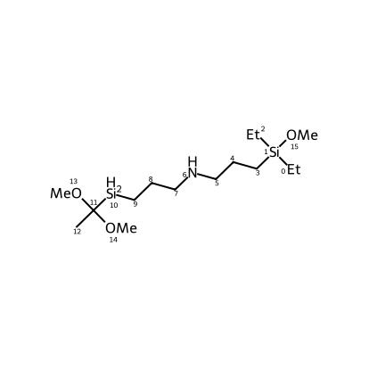 CC[Si](CC)(CCCNCCC[SiH2]C(C)(OC)OC)OC